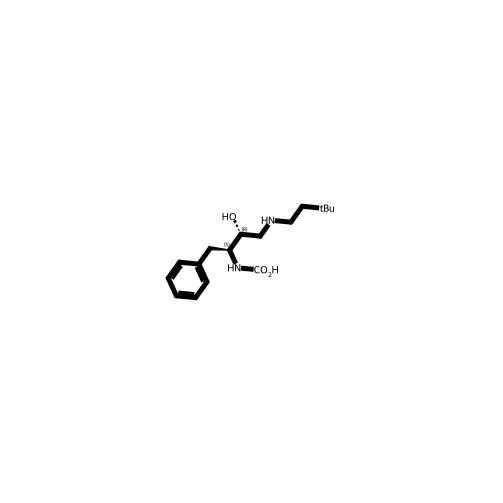 CC(C)(C)CCNC[C@@H](O)[C@H](Cc1ccccc1)NC(=O)O